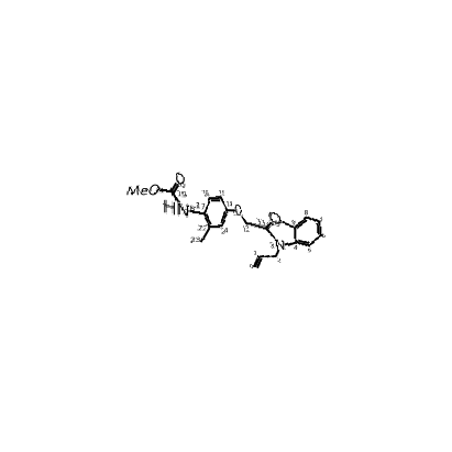 C=CCN1c2ccccc2OC1COc1ccc(NC(=O)OC)c(C)c1